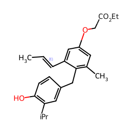 C/C=C/c1cc(OCC(=O)OCC)cc(C)c1Cc1ccc(O)c(C(C)C)c1